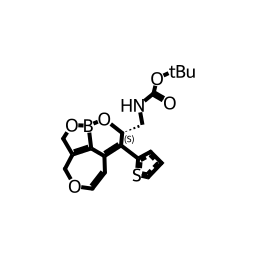 CC(C)(C)OC(=O)NC[C@H]1OB2OCC3=C2C(=C1c1cccs1)C=COC3